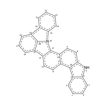 c1ccc2c(c1)[nH]c1ccc3c(ccc4c5cccc6c7ccccc7n(c34)c65)c12